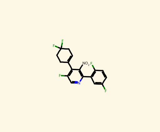 O=[N+]([O-])c1c(-c2cc(F)ccc2F)ncc(F)c1C1=CCC(F)(F)CC1